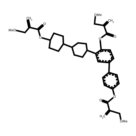 C=C(COC)C(=O)Oc1ccc(-c2ccc(OC(=O)C(=C)COC)c(C3CCC(C4CCC(OC(=O)C(=C)COC)CC4)CC3)c2)cc1